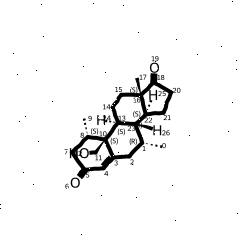 C[C@@H]1CC2=CC(=O)C[C@H](C)[C@]2(CO)[C@H]2CC[C@]3(C)C(=O)CC[C@H]3[C@H]12